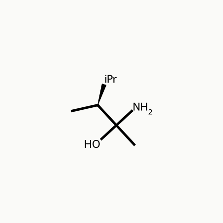 CC(C)[C@H](C)C(C)(N)O